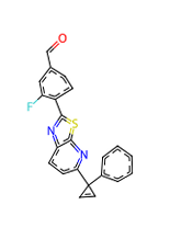 O=Cc1ccc(-c2nc3ccc(C4(c5ccccc5)C=C4)nc3s2)c(F)c1